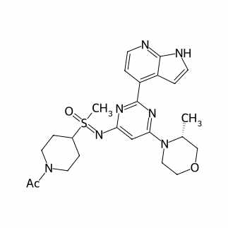 CC(=O)N1CCC(S(C)(=O)=Nc2cc(N3CCOC[C@H]3C)nc(-c3ccnc4[nH]ccc34)n2)CC1